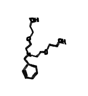 OCCOCCN(CCOCCO)Cc1ccccc1